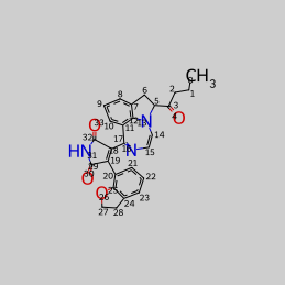 CCCC(=O)C1Cc2cccc3c2N1C=CN=C3C1=C(c2cccc3c2OCC3)C(=O)NC1=O